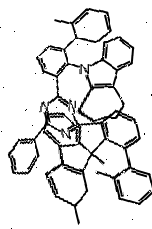 CC1=CC=CCC1c1cccc(-c2nc(-c3ccccc3)nc(-c3cccc(-c4ccccc4C)c3C3(C)C4=C(C=CC(C)C4)c4ccccc43)n2)c1-n1c2c(c3ccccc31)CCCC2